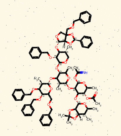 CC(=N)O[C@H]1OC(C)[C@H](OC(C)=O)C(O[C@@H]2OC(C)[C@H](C)[C@@H]3OC(C)(C)OC23)[C@H]1O[C@@H]1OC(C)[C@H](O[C@@H]2OC[C@@H](C)C(O[C@@H]3OCC4(COCc5ccccc5)O[C@@H](c5ccccc5)O[C@H]34)[C@H]2OCc2ccccc2)C(O[C@@H]2OC(COCc3ccccc3)[C@@H](OCc3ccccc3)C(OCc3ccccc3)[C@H]2C)[C@@H]1C